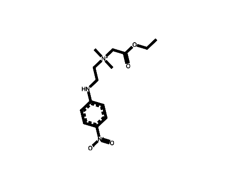 CCOC(=O)C[N+](C)(C)CCNc1ccc([N+](=O)[O-])cc1